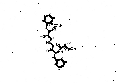 CC(C)(C)C(=NO)C(=O)N[C@@H](Cc1ccccc1)C(O)CNC[C@@H](O)[C@H](Cc1ccccc1)NC(=O)O